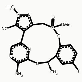 COP1(=O)Cc2nn(C)c(C#N)c2-c2cnc(N)c(n2)O[C@H](C)c2cc(F)ccc2O1